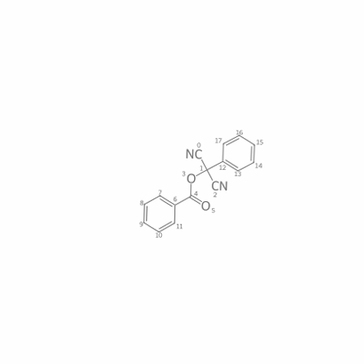 N#CC(C#N)(OC(=O)c1ccccc1)c1ccccc1